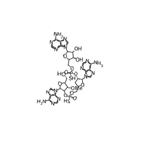 COC1C(CO)OC(n2cnc3c(N)ncnc32)C1OP(=O)(S)OCC1CC(OP(=O)(S)OCC2OC(n3cnc4c(N)ncnc43)C(O)C2O)C(n2cnc3c(N)ncnc32)O1